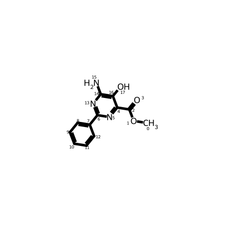 COC(=O)c1nc(-c2ccccc2)nc(N)c1O